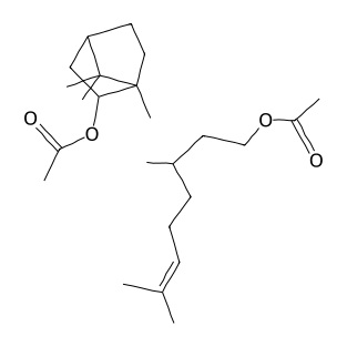 CC(=O)OC1CC2CCC1(C)C2(C)C.CC(=O)OCCC(C)CCC=C(C)C